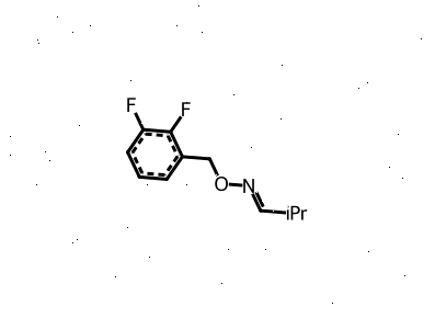 CC(C)C=NOCc1cccc(F)c1F